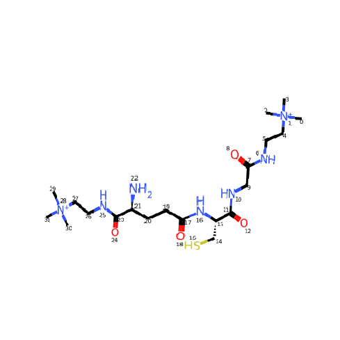 C[N+](C)(C)CCNC(=O)CNC(=O)[C@H](CS)NC(=O)CC[C@H](N)C(=O)NCC[N+](C)(C)C